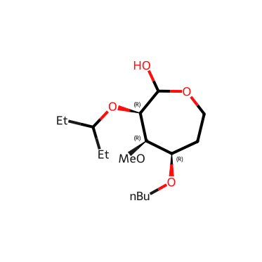 CCCCO[C@@H]1CCOC(O)[C@H](OC(CC)CC)[C@@H]1OC